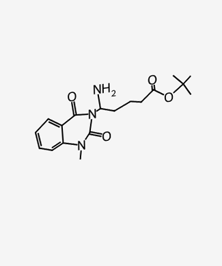 Cn1c(=O)n(C(N)CCCC(=O)OC(C)(C)C)c(=O)c2ccccc21